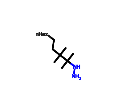 CCCCCCCCC(C)(C)C(C)(C)NN